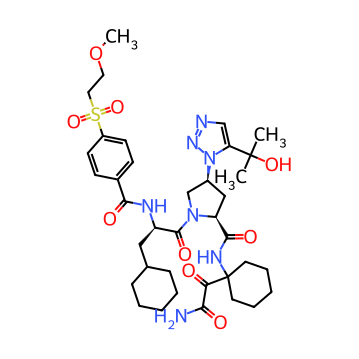 COCCS(=O)(=O)c1ccc(C(=O)N[C@H](CC2CCCCC2)C(=O)N2C[C@@H](n3nncc3C(C)(C)O)C[C@H]2C(=O)NC2(C(=O)C(N)=O)CCCCC2)cc1